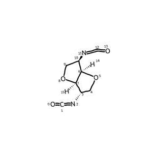 O=C=N[C@H]1CO[C@H]2[C@@H]1OC[C@H]2N=C=O